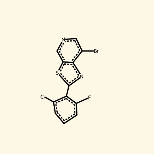 Fc1cccc(Cl)c1-c1nc2c(Br)cncc2s1